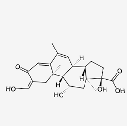 CC1=C[C@@H]2[C@H]([C@@H](O)C[C@@]3(C)[C@H]2CC[C@]3(O)C(=O)O)[C@@]2(C)C/C(=C/O)C(=O)C=C12